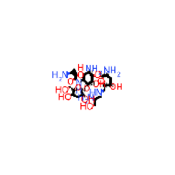 NC(CO)CNC[C@H]1O[C@H](OC2[C@@H](N)C[C@@H](NC(=O)C3(O)CC3N)[C@H](O[C@H]3O[C@H](CO)[C@@H](O)C[C@H]3O)[C@H]2O)[C@H](N)C[C@@H]1O